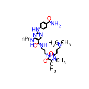 CCCNc1nc(Nc2ccc(C(N)=O)cc2)ncc1C(=O)NCCCNC(=O)C(C)N(C)C(=O)C=CCN(C)C